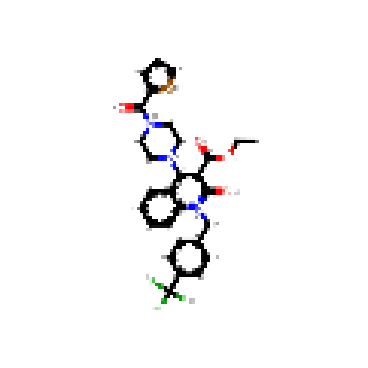 CCOC(=O)c1c(N2CCN(C(=O)c3cccs3)CC2)c2ccccc2n(Cc2ccc(C(F)(F)F)cc2)c1=O